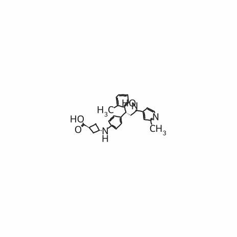 Cc1cc(/C(C[C@H](c2ccc(N[C@H]3C[C@H](C(=O)O)C3)cc2)c2ccccc2C)=N/O)ccn1